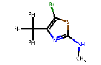 [2H]C([2H])([2H])c1nc(NC)sc1Br